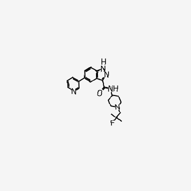 CC(C)(F)CN1CCC(NC(=O)c2n[nH]c3ccc(-c4cccnc4)cc23)CC1